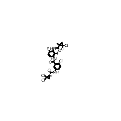 CC1(C(=O)Nc2c(F)ccc(NC(=O)c3cc(NC(=O)[C@H]4CC4(Cl)Cl)ccc3Cl)c2F)CC1(Cl)Cl